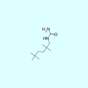 CC(C)(C)CCC(C)(C)CNC(N)=O